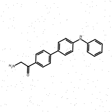 NCC(=O)c1ccc(-c2ccc(Nc3ccccc3)cc2)cc1